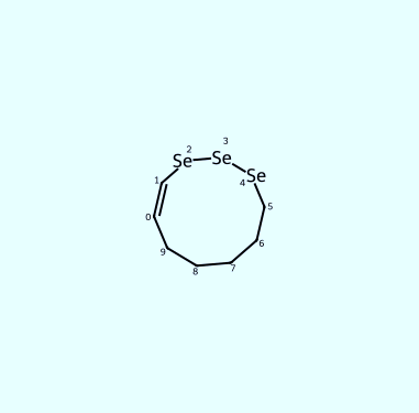 C1=C\[Se][Se][Se]CCCCC/1